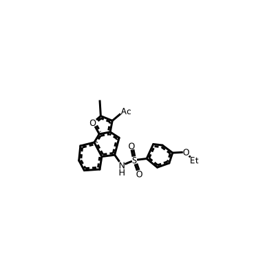 CCOc1ccc(S(=O)(=O)Nc2cc3c(C(C)=O)c(C)oc3c3ccccc23)cc1